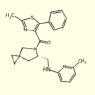 Cc1cccc(NC[C@@H]2CC3(CC3)CN2C(=O)c2nc(C)sc2-c2ccccc2)n1